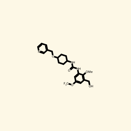 COc1c(CO)cc(OC(F)(F)F)cc1NC(=O)NC1CCC(OCc2cccnc2)CC1